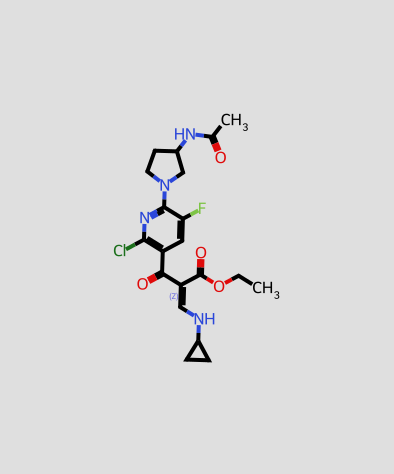 CCOC(=O)/C(=C\NC1CC1)C(=O)c1cc(F)c(N2CCC(NC(C)=O)C2)nc1Cl